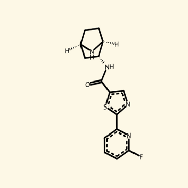 O=C(N[C@@H]1C[C@H]2CC[C@@H]1N2)c1cnc(-c2cccc(F)n2)s1